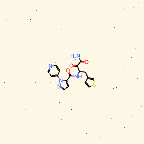 NC(=O)C(=O)C(Cc1ccsc1)NC(=O)c1ccnn1-c1ccncc1